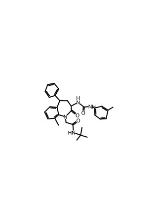 Cc1cccc(NC(=O)NC2CC(c3ccccc3)c3cccc(C)c3N(CC(=O)NC(C)(C)C)C2=O)c1